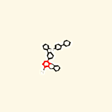 N#Cc1ccc(-c2ccc3c(c2)c2ccccc2n3-c2ccc(-c3ccccc3)cc2)c2c1C1c3ccccc3C2c2ccccc21